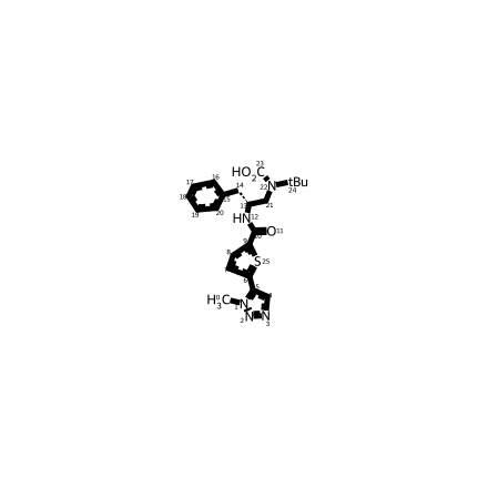 Cn1nncc1-c1ccc(C(=O)N[C@H](Cc2ccccc2)CN(C(=O)O)C(C)(C)C)s1